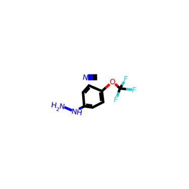 C#N.NNc1ccc(OC(F)(F)F)cc1